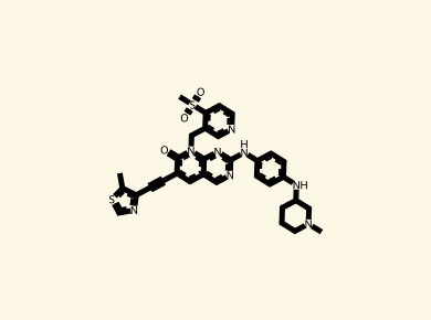 Cc1scnc1C#Cc1cc2cnc(Nc3ccc(NC4CCCN(C)C4)cc3)nc2n(Cc2cnccc2S(C)(=O)=O)c1=O